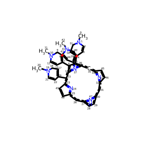 CN1C=CC(c2c(C3=CCN(C)C=C3)c3c(C4=CCN(C)C=C4)c4nc(cc5ccc(cc6nc(cc2n3C2=CCN(C)C=C2)C=C6)[nH]5)C=C4)=CC1